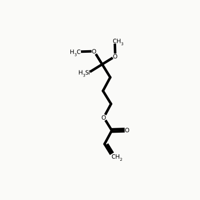 C=CC(=O)OCCCC([SiH3])(OC)OC